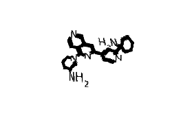 NC1CCCN(c2nc(-c3ccnc(C4(N)CCCCC4)c3)cc3cnccc23)C1